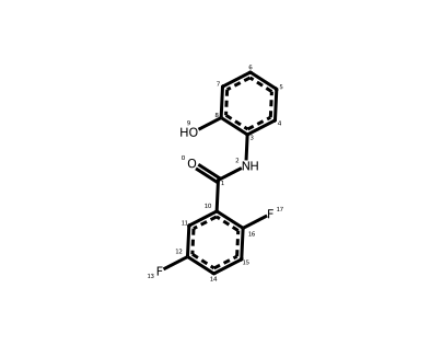 O=C(Nc1ccccc1O)c1cc(F)ccc1F